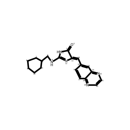 O=C1NC(NCC2CCCCC2)=N/C1=C\c1ccc2nccnc2c1